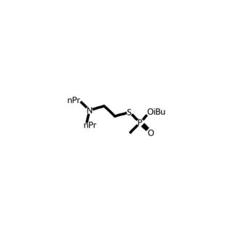 CCCN(CCC)CCSP(C)(=O)OCC(C)C